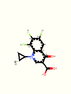 O=C([O-])c1cn(C2CC2)c2c(F)c(F)c(F)cc2c1=O.[K+]